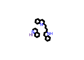 C(=Cc1ccc2ccccc2n1)C=C1C=Cc2ccccc2N1.I.c1ccc2ncccc2c1